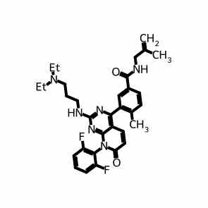 C=C(C)CNC(=O)c1ccc(C)c(-c2nc(NCCCN(CC)CC)nc3c2ccc(=O)n3-c2c(F)cccc2F)c1